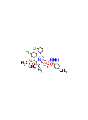 Cc1ccc(S(=N)(=O)NC(=O)C[C@@]2(C)C[C@H](c3cccc(Cl)c3)[C@@H](c3ccc(Cl)cc3)N(C(CS(=O)(=O)C(C)C)C(C)C)C2=O)cc1